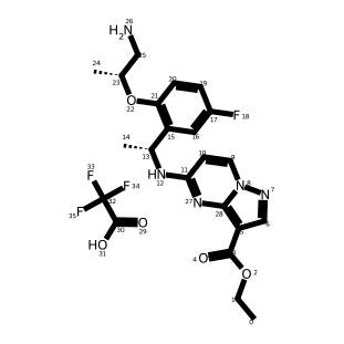 CCOC(=O)c1cnn2ccc(N[C@H](C)c3cc(F)ccc3O[C@H](C)CN)nc12.O=C(O)C(F)(F)F